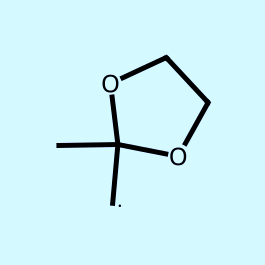 [CH2]C1(C)OCCO1